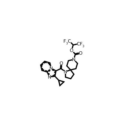 O=C(OC(C(F)(F)F)C(F)(F)F)N1CCC2(CCCN2C(=O)c2c(C3CC3)nc3ccccn23)CC1